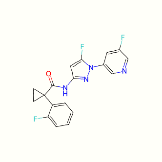 O=C(Nc1cc(F)n(-c2cncc(F)c2)n1)C1(c2ccccc2F)CC1